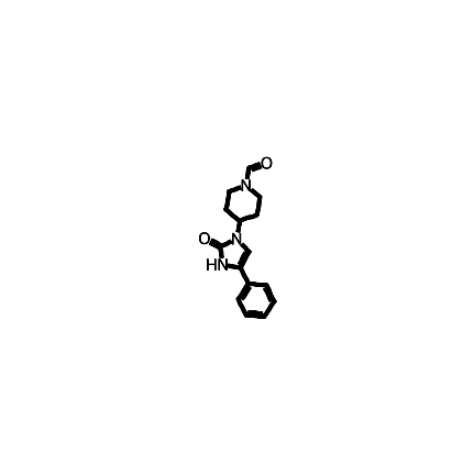 O=CN1CCC(n2cc(-c3ccccc3)[nH]c2=O)CC1